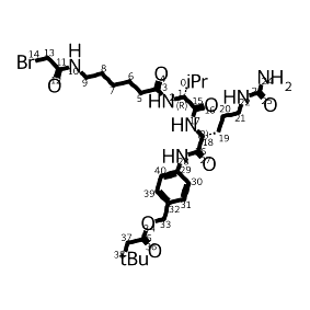 CC(C)[C@@H](NC(=O)CCCCCNC(=O)CBr)C(=O)N[C@H](CCCNC(N)=O)C(=O)Nc1ccc(COC(=O)CC(C)(C)C)cc1